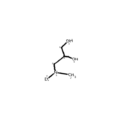 CCN(C)CC(O)CO